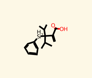 C=C(C(=O)O)C([SiH2]c1ccccc1)(C(C)C)C(C)C